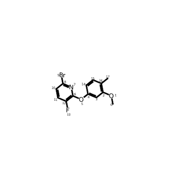 COc1cc(Oc2nc(Br)ccc2F)ccc1C